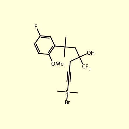 COc1ccc(F)cc1C(C)(C)CC(O)(CC#C[Si](C)(C)Br)C(F)(F)F